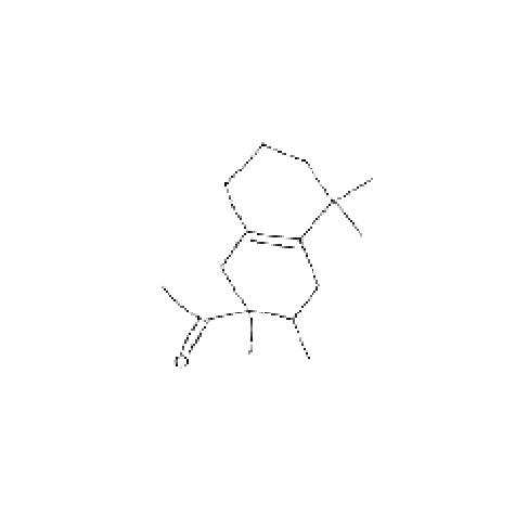 CC(=O)C1(C)CC2=C(CC1C)C(C)(C)CCC2